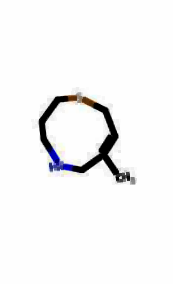 C/C1=C/CSCCCNC1